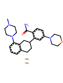 Br.Br.CN1CCN(c2cccc3c2CC(c2cc(N4CCOCC4)ccc2C(N)=O)CC3)CC1